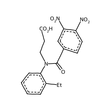 CCc1ccccc1N(CCC(=O)O)C(=O)c1ccc([N+](=O)[O-])c([N+](=O)[O-])c1